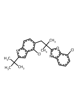 CC(C)(C)c1cc2c(Cl)c(CC(C)(C)c3nc4cccc(Cl)c4o3)ccc2s1